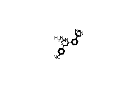 N#Cc1ccc([C@@H]2C[C@@H](c3cccc(-c4cncnc4)c3)N=C(N)S2)cc1